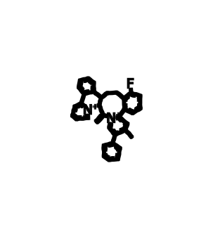 C=C1C2C(CCc3c(F)cccc3-c3cc(C)c(-c4ccccc4)c[n+]31)c1ccccc1-c1cccc[n+]12